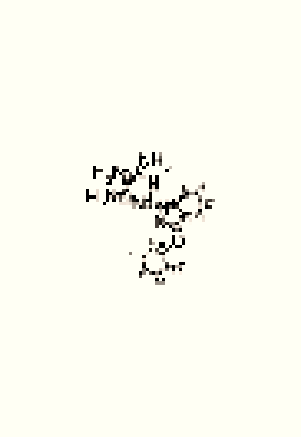 Nc1nc(-n2nc(Oc3ccccc3F)c3ccccc32)nc(N)c1N